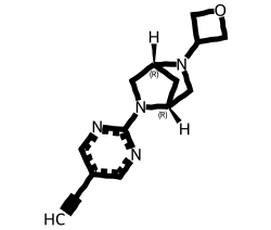 C#Cc1cnc(N2C[C@H]3C[C@@H]2CN3C2COC2)nc1